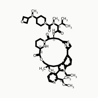 CCn1c(-c2cccnc2[C@H](C)OC)c2c3cc(ccc31)-c1csc(n1)C[C@H](NC(=O)[C@H](C(C)C)N(C)C(=O)N1CCC(N(C)C3COC3)CC1)C(=O)N1CCC[C@H](N1)C(=O)OCC(C)(C)C2